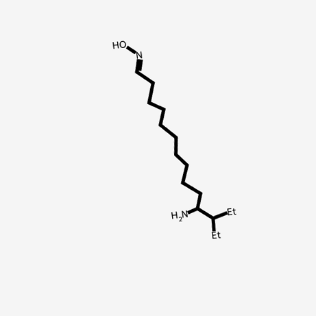 CCC(CC)C(N)CCCCCCCCCC=NO